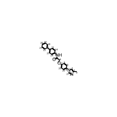 Cc1cn(-c2ccc(OCC(=O)Nc3ccc(-c4ccccc4)cc3)cc2)cn1